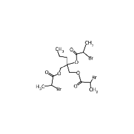 CCCC(COC(=O)C(C)Br)(COC(=O)C(C)Br)OC(=O)C(C)Br